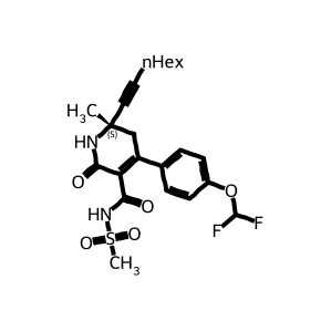 CCCCCCC#C[C@]1(C)CC(c2ccc(OC(F)F)cc2)=C(C(=O)NS(C)(=O)=O)C(=O)N1